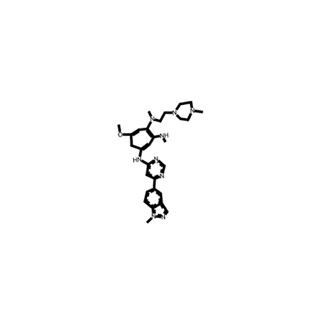 CNC1=C(N(C)CCN2CCN(C)CC2)C=C(OC)CC(Nc2cc(-c3ccc4c(cnn4C)c3)ncn2)=C1